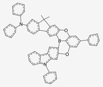 CC1(C)c2cc(N(c3ccccc3)c3ccccc3)ccc2-c2cc3c(cc21)Oc1cc(-c2ccccc2)cc2c1B3c1cc3c4ccccc4n(-c4ccccc4)c3cc1O2